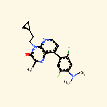 Cc1nc2c(-c3cc(F)c(N(C)C)cc3Cl)ccnc2n(CCC2CC2)c1=O